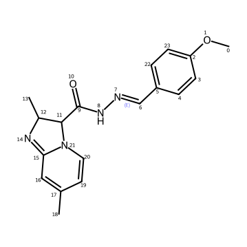 COc1ccc(/C=N/NC(=O)C2C(C)N=C3C=C(C)C=CN32)cc1